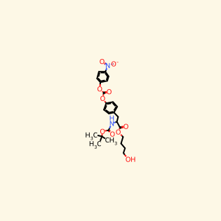 CC(C)(C)OC(=O)NC(Cc1ccc(OC(=O)Oc2ccc([N+](=O)[O-])cc2)cc1)C(=O)OCCCCO